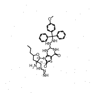 CCCC1C[C@@](N)([C@H](C)NN=N)[C@H](n2c3c(sc2=O)C(=O)NC(NNC(c2ccccc2)(c2ccccc2)c2ccc(OC)cc2)N3)O1